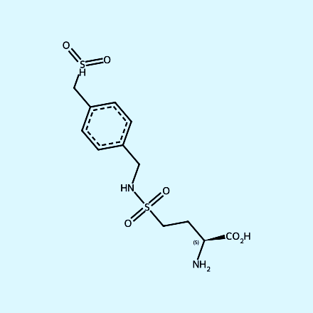 N[C@@H](CCS(=O)(=O)NCc1ccc(C[SH](=O)=O)cc1)C(=O)O